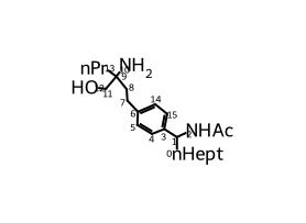 CCCCCCCC(NC(C)=O)c1ccc(CCC(N)(CO)CCC)cc1